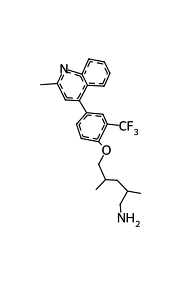 Cc1cc(-c2ccc(OCC(C)CC(C)CN)c(C(F)(F)F)c2)c2ccccc2n1